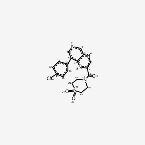 O=C(c1cnc2cncc(-c3ccc(Cl)cc3)c2n1)N1CCS(=O)(=O)CC1